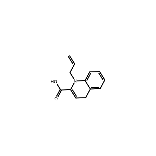 C=CCN1C(C(=O)O)=CCc2ccccc21